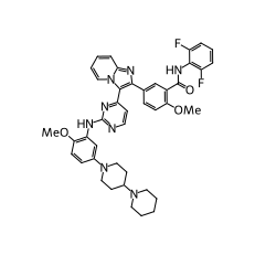 COc1ccc(N2CCC(N3CCCCC3)CC2)cc1Nc1nccc(-c2c(-c3ccc(OC)c(C(=O)Nc4c(F)cccc4F)c3)nc3ccccn23)n1